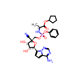 C[C@H](NP(=O)(OC[C@@]1(C#N)O[C@@H](c2ccc3c(N)ncnn23)[C@H](O)[C@@H]1O)Oc1ccccc1)C(=O)OC1CCCC1